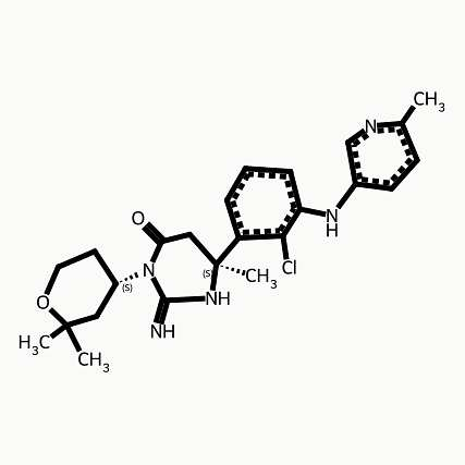 Cc1ccc(Nc2cccc([C@]3(C)CC(=O)N([C@H]4CCOC(C)(C)C4)C(=N)N3)c2Cl)cn1